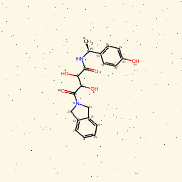 C[C@H](NC(=O)C(O)C(O)C(=O)N1Cc2ccccc2C1)c1ccc(O)cc1